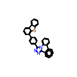 c1ccc(-c2ccccc2-n2c(-c3ccccc3)nnc2-c2ccc(-c3cccc4c3sc3ccccc34)cc2)cc1